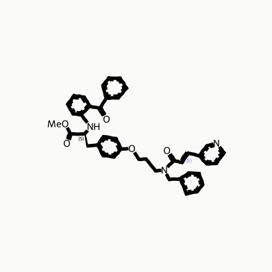 COC(=O)[C@H](Cc1ccc(OCCCN(Cc2ccccc2)C(=O)/C=C/c2cccnc2)cc1)Nc1ccccc1C(=O)c1ccccc1